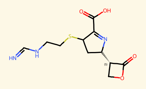 N=CNCCSC1CC([C@H]2COC2=O)N=C1C(=O)O